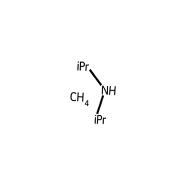 C.CC(C)NC(C)C